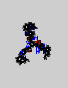 Cc1ccc2cccc(-c3ccc(NC(=O)C4CC(C(=O)Nc5ccc(-c6cccc7ccc(C)nc67)nc5)CC(C(=O)Nc5ccc(-c6cccc7ccc(C)nc67)nc5)C4)cn3)c2n1